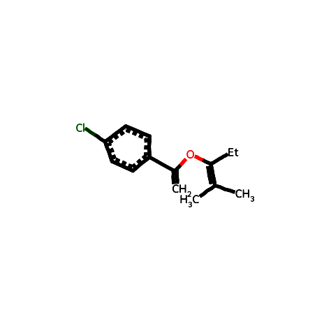 C=C(OC(CC)=C(C)C)c1ccc(Cl)cc1